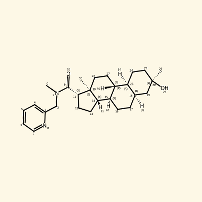 CN(Cc1ccccn1)C(=O)[C@H]1CC[C@H]2[C@@H]3CC[C@@H]4C[C@](C)(O)CC[C@@H]4[C@H]3CC[C@]12C